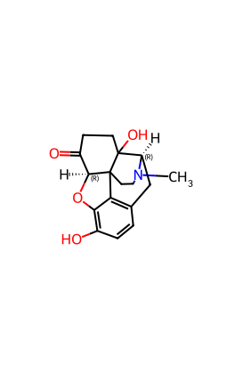 CN1CCC23c4c5ccc(O)c4O[C@H]2C(=O)CCC3(O)[C@H]1C5